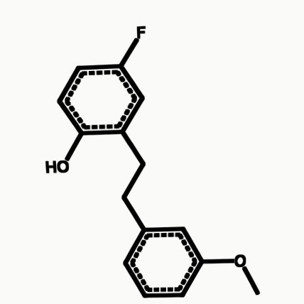 COc1cccc(CCc2cc(F)ccc2O)c1